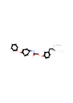 CO[C@@H](Cc1cccc(OCC(=O)Nc2ccc(Oc3ccccc3)cc2)c1)C(=O)O